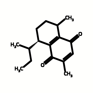 CCC(C)[C@@H]1CCC(C)C2=C1C(=O)C(C)=CC2=O